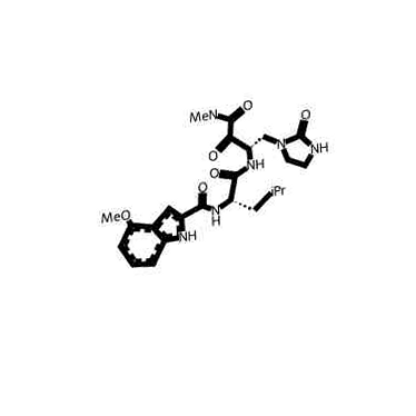 CNC(=O)C(=O)[C@H](CN1CCNC1=O)NC(=O)[C@H](CC(C)C)NC(=O)c1cc2c(OC)cccc2[nH]1